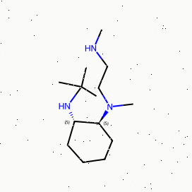 CNCCN(C)[C@H]1CCCC[C@@H]1NC(C)(C)C